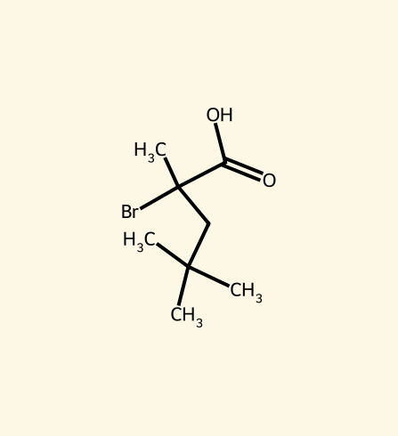 CC(C)(C)CC(C)(Br)C(=O)O